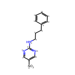 O=[N+]([O-])c1cnc(NCCCc2ccccc2)nc1